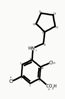 O=C(O)c1cc(Cl)cc(NCC2CCCC2)c1Cl